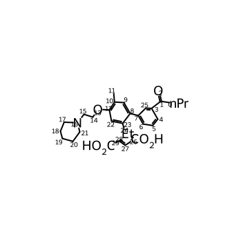 CCCC(=O)c1cccc(-c2cc(C)c(OCCN3CCCCC3)cc2CC)c1.O=C(O)/C=C/C(=O)O